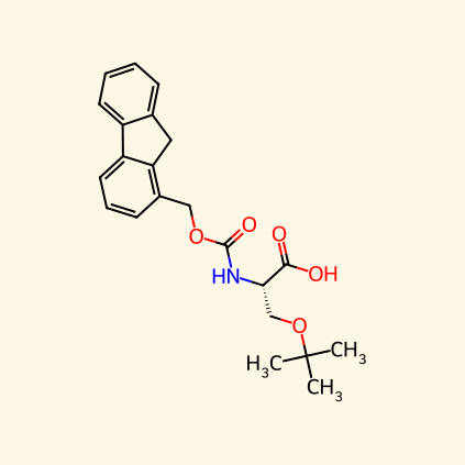 CC(C)(C)OC[C@H](NC(=O)OCc1cccc2c1Cc1ccccc1-2)C(=O)O